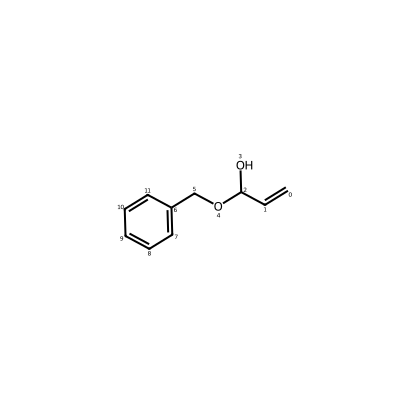 C=CC(O)OCc1ccccc1